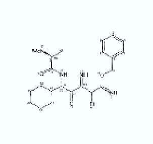 CCC(C(=N)OCc1ccccc1)C(=N)C(=O)[C@@H](NC(=O)[C@H](C)NC)C1CCCCC1